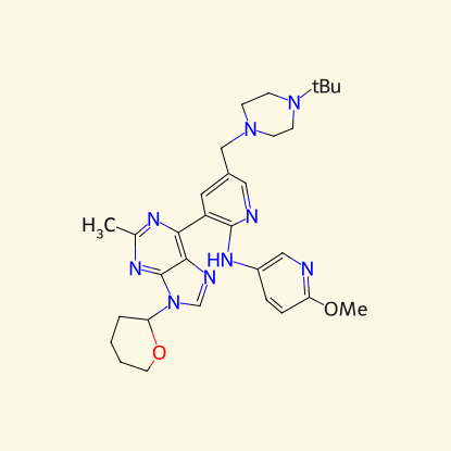 COc1ccc(Nc2ncc(CN3CCN(C(C)(C)C)CC3)cc2-c2nc(C)nc3c2ncn3C2CCCCO2)cn1